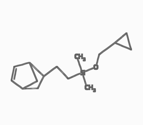 C[Si](C)(CCC1CC2C=CC1C2)OCC1CC1